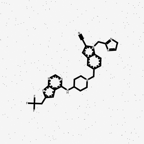 N#Cc1cc2cc(CN3CCC(Nc4ncnc5sc(CC(F)(F)F)cc45)CC3)ccc2n1CC1=NCC=N1